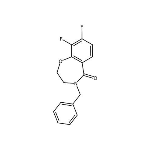 O=C1c2ccc(F)c(F)c2OCCN1Cc1ccccc1